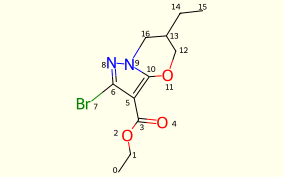 CCOC(=O)c1c(Br)nn2c1OCC(CC)C2